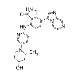 C[C@@H]1C[C@H](O)CCN1c1ccc(Nc2ccc(-c3cnc4cnccn34)c3c2C(=O)NC3)nc1